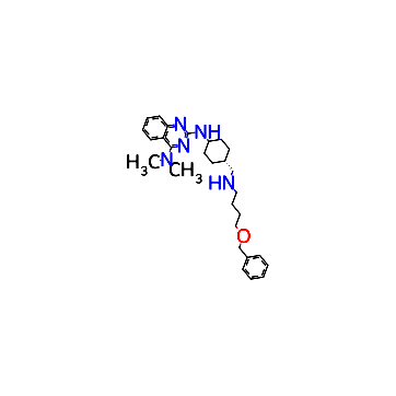 CN(C)c1nc(N[C@H]2CC[C@@H](CNCCCCOCc3ccccc3)CC2)nc2ccccc12